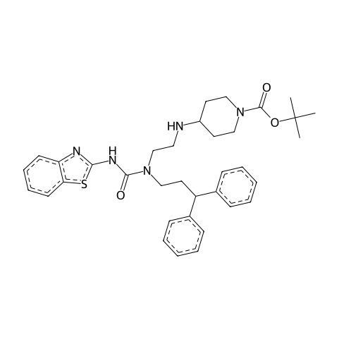 CC(C)(C)OC(=O)N1CCC(NCCN(CCC(c2ccccc2)c2ccccc2)C(=O)Nc2nc3ccccc3s2)CC1